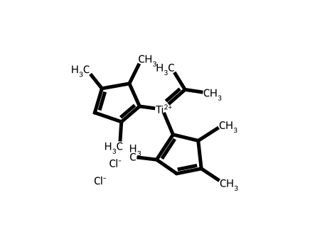 CC1=CC(C)=[C]([Ti+2]([C]2=C(C)C=C(C)C2C)=[C](C)C)C1C.[Cl-].[Cl-]